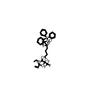 C=CC(=O)OC(OCCCCC(F)(F)C(F)(F)S(=O)(=O)S(c1ccccc1)(c1ccccc1)c1ccccc1)(C(=O)OCC)C(F)(F)F